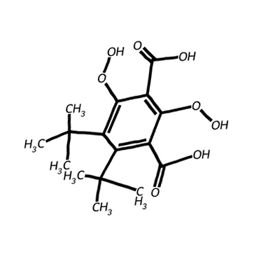 CC(C)(C)c1c(OO)c(C(=O)O)c(OO)c(C(=O)O)c1C(C)(C)C